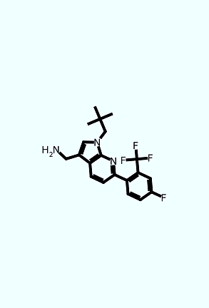 CC(C)(C)Cn1cc(CN)c2ccc(-c3ccc(F)cc3C(F)(F)F)nc21